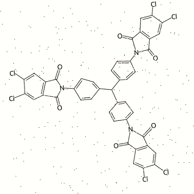 O=C1c2cc(Cl)c(Cl)cc2C(=O)N1c1ccc(C(c2ccc(N3C(=O)c4cc(Cl)c(Cl)cc4C3=O)cc2)c2ccc(N3C(=O)c4cc(Cl)c(Cl)cc4C3=O)cc2)cc1